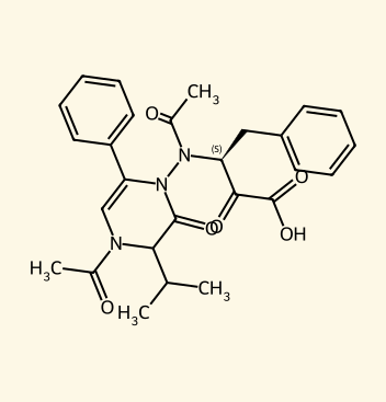 CC(=O)N1C=C(c2ccccc2)N(N(C(C)=O)[C@@H](Cc2ccccc2)C(=O)C(=O)O)C(=O)C1C(C)C